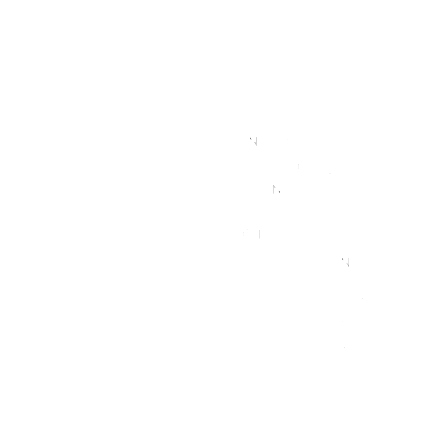 Cc1cc(-c2ccc3c(c2)CCO3)ccc1C1=NC2(CCCC2)C(=O)N1C[C@@H]1CCN(C(=O)C2CC2)C1